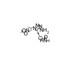 CC(C)(C)OC(=O)N1CCC(Cn2cc(C#Cc3cccc(C(=O)NC4CC4)c3)c3c(N)ncnc32)CC1